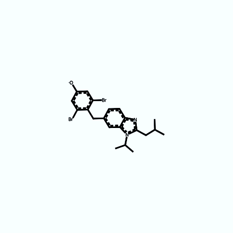 CC(C)Cc1nc2ccc(Cc3c(Br)cc([O])cc3Br)cc2n1C(C)C